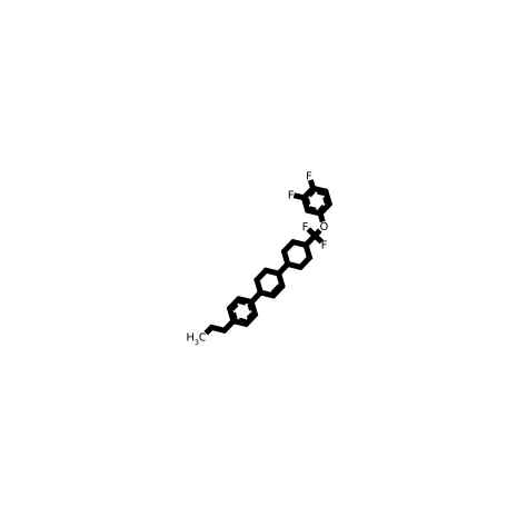 CCCc1ccc(C2C=CC(C3CCC(C(F)(F)Oc4ccc(F)c(F)c4)CC3)CC2)cc1